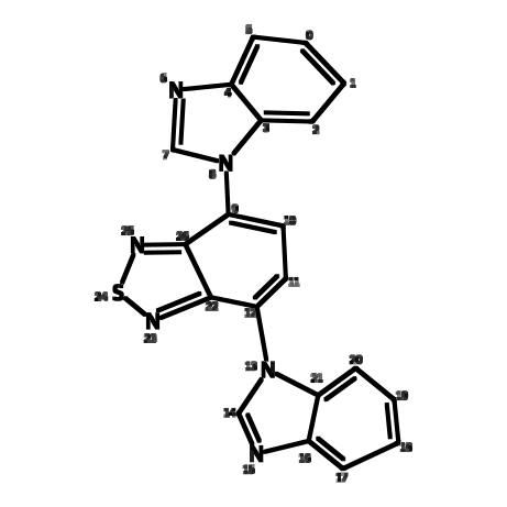 c1ccc2c(c1)ncn2-c1ccc(-n2cnc3ccccc32)c2nsnc12